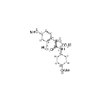 COc1ccc(CC(=O)NC2CCC(OC)CC2)c(C)c1.O=C(O)O